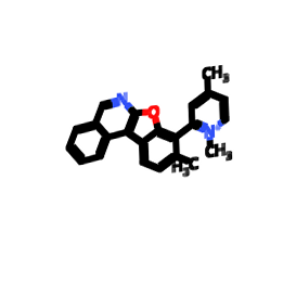 Cc1cc[n+](C)c(-c2c(C)ccc3c2oc2ncc4ccccc4c23)c1